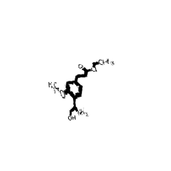 CCOC(=O)/C=C/c1ccc(C(N)CO)c(OC)c1